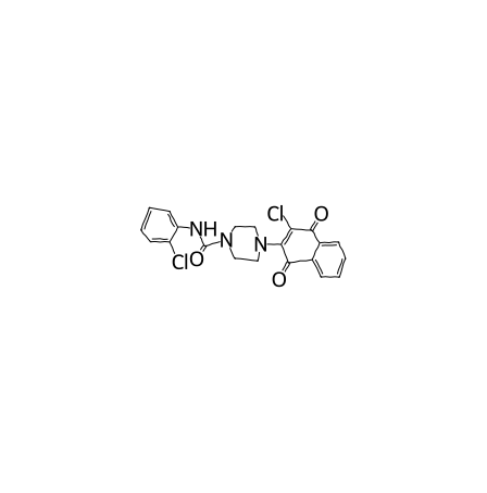 O=C1C(Cl)=C(N2CCN(C(=O)Nc3ccccc3Cl)CC2)C(=O)c2ccccc21